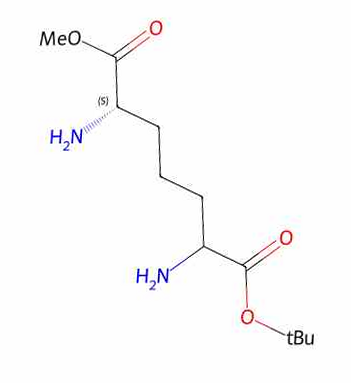 COC(=O)[C@@H](N)CCCC(N)C(=O)OC(C)(C)C